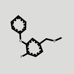 [CH2]SCc1ccc(F)c(Oc2ccccc2)c1